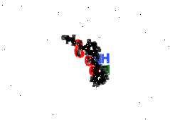 CCCCOC(=O)c1cccc(NC(=O)COc2ccccc2Cl)c1